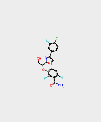 NC(=O)c1c(F)ccc(OC(CO)c2nc(-c3ccc(Cl)c(F)c3)co2)c1F